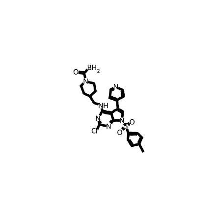 BC(=O)N1CCC(CNc2nc(Cl)nc3c2c(-c2ccncc2)cn3S(=O)(=O)c2ccc(C)cc2)CC1